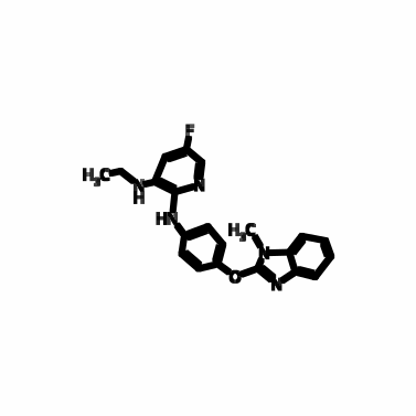 CCNc1cc(F)cnc1Nc1ccc(Oc2nc3ccccc3n2C)cc1